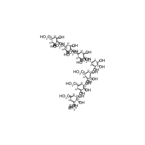 O=C(O)c1cc(O)c(O)c(O)c1.O=C(O)c1cc(O)c(O)c(O)c1.O=C(O)c1cc(O)c(O)c(O)c1.O=C(O)c1cc(O)c(O)c(O)c1.O=C(O)c1cc(O)c(O)c(O)c1.O=C(O)c1cc(O)c(O)c(O)c1.O=C(O)c1cc(O)c(O)c(O)c1.P.[SiH4]